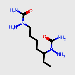 CCC(CCCCN(N)C(N)=O)N(N)C(N)=O